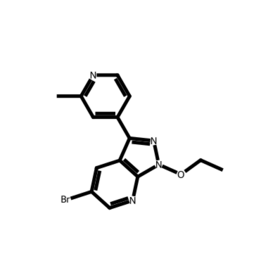 CCOn1nc(-c2ccnc(C)c2)c2cc(Br)cnc21